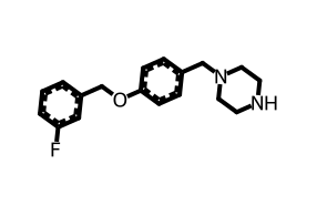 Fc1cccc(COc2ccc(CN3CCNCC3)cc2)c1